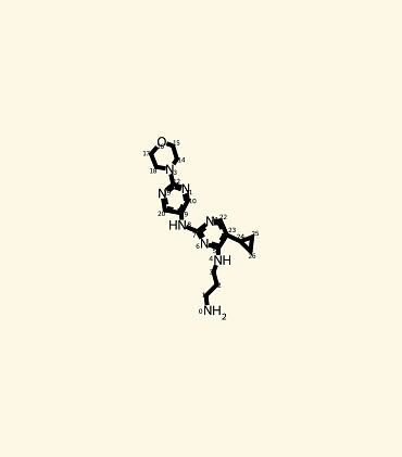 NCCCNc1nc(Nc2cnc(N3CCOCC3)nc2)ncc1C1CC1